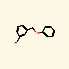 CC(=O)c1cccc(COc2ccccc2)c1